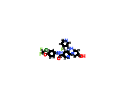 O=C(Nc1ccc(OC(F)(F)Cl)cc1)c1cnc(N2CC[C@@H](O)C2)c(Nc2cnccc2F)c1